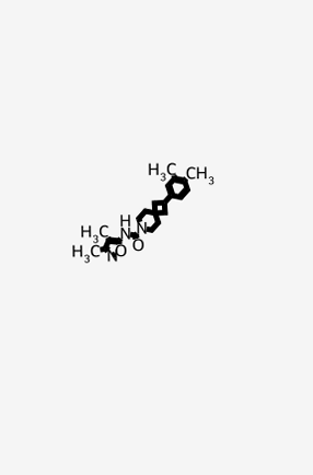 Cc1ccc(C2CC3(CCN(C(=O)Nc4onc(C)c4C)CC3)C2)cc1C